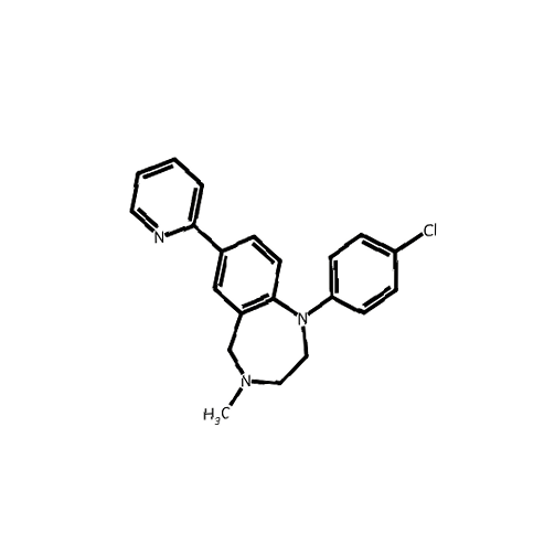 CN1CCN(c2ccc(Cl)cc2)c2ccc(-c3ccccn3)cc2C1